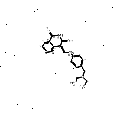 CCN(CC)Cc1ccc(NC=C2C(=O)NC(=O)c3ccccc32)cc1